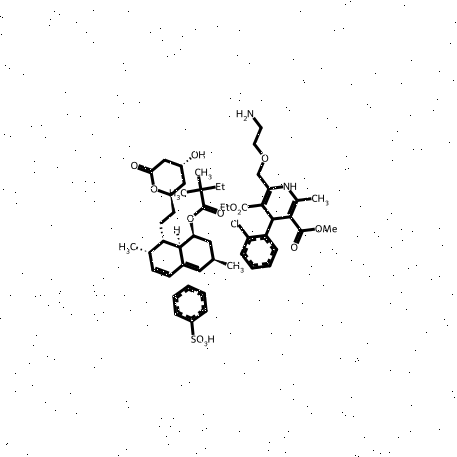 CCC(C)(C)C(=O)O[C@H]1C[C@@H](C)C=C2C=C[C@H](C)[C@H](CC[C@@H]3C[C@@H](O)CC(=O)O3)[C@H]21.CCOC(=O)C1=C(COCCN)NC(C)=C(C(=O)OC)C1c1ccccc1Cl.O=S(=O)(O)c1ccccc1